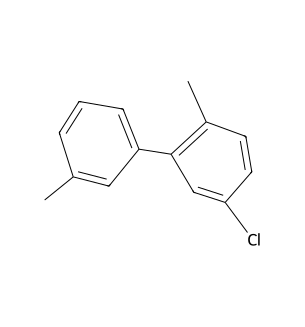 Cc1cccc(-c2cc(Cl)ccc2C)c1